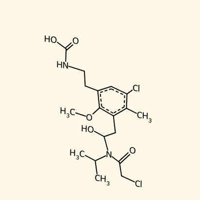 COc1c(CCNC(=O)O)cc(Cl)c(C)c1CC(O)N(C(=O)CCl)C(C)C